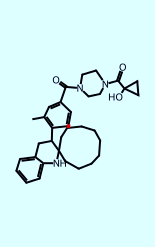 Cc1cc(C(=O)N2CCN(C(=O)C3(O)CC3)CC2)ccc1C1Cc2ccccc2NC12CCCCCCCCC2